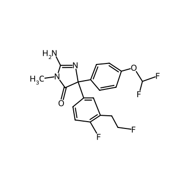 CN1C(=O)C(c2ccc(OC(F)F)cc2)(c2ccc(F)c(CCF)c2)N=C1N